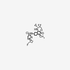 Cn1c(=O)c2c(c3cc(Nc4nc(N5CCC5CF)ncc4Cl)ccc31)N[C@@H](C1CC1)C(F)(F)CO2